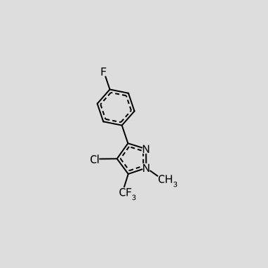 Cn1nc(-c2ccc(F)cc2)c(Cl)c1C(F)(F)F